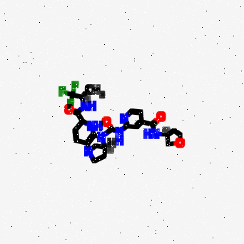 C[C@@H](NC(=O)C1C=CC2=C(N1)N(C(=O)Nc1cc(C(=O)N[C@H]3CCOC3)ccn1)[C@H]1CCN2C1)C(F)(F)F